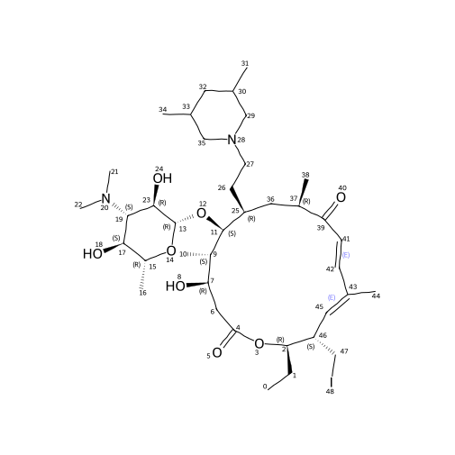 CC[C@H]1OC(=O)C[C@@H](O)[C@H](C)[C@@H](O[C@@H]2O[C@H](C)[C@@H](O)[C@H](N(C)C)[C@H]2O)[C@@H](CCN2CC(C)CC(C)C2)C[C@@H](C)C(=O)/C=C/C(C)=C/[C@@H]1CI